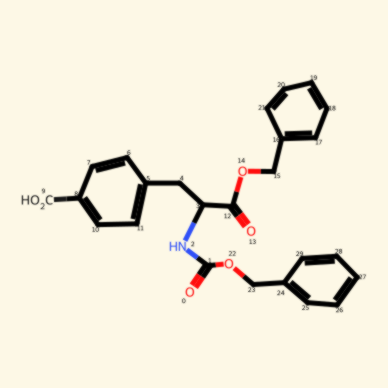 O=C(NC(Cc1ccc(C(=O)O)cc1)C(=O)OCc1ccccc1)OCc1ccccc1